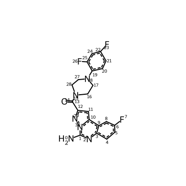 Nc1nc2ccc(F)cc2c2cc(C(=O)N3CCN(c4ccc(F)cc4F)CC3)nn12